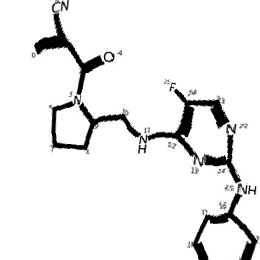 C=C(C#N)C(=O)N1CCCC1CNc1nc(Nc2ccccc2)ncc1F